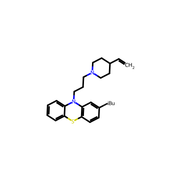 C=CC1CCN(CCCN2c3ccccc3Sc3ccc(C(C)CC)cc32)CC1